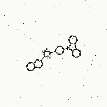 c1ccc2cc(-c3nsc(-c4ccc(-n5c6ccccc6c6ccccc65)cc4)n3)ccc2c1